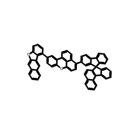 c1ccc2c(c1)-c1ccc(-c3ccc4c5c(cccc35)-c3cc(-c5cccc6oc7cc8ccccc8cc7c56)ccc3O4)cc1C21c2ccccc2-c2c1ccc1ccccc21